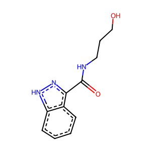 O=C(NCCCO)c1n[nH]c2ccccc12